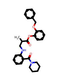 CC(CNc1ccccc1C(=O)N1CCCCC1)C(=O)Oc1ccccc1OCc1ccccc1